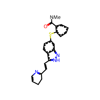 CNC(=O)c1ccccc1Sc1ccc2c(/C=C/C3=NC=CCC3)[nH]nc2c1